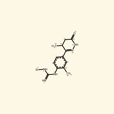 CCNC(=N)Nc1ccc(C2=NNC(=O)CC2C)cc1C